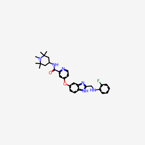 CN1C(C)(C)CC(NC(=O)c2cc(Oc3ccc4[nH]c(CNc5ccccc5F)nc4c3)ccn2)CC1(C)C